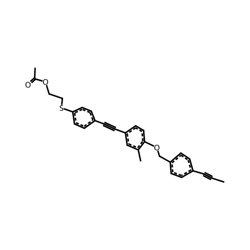 CC#Cc1ccc(COc2ccc(C#Cc3ccc(SCCOC(C)=O)cc3)cc2C)cc1